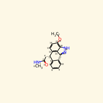 CNC(=O)C[C@@H](c1ccccc1)c1ccc(OC)c2[nH]ncc12